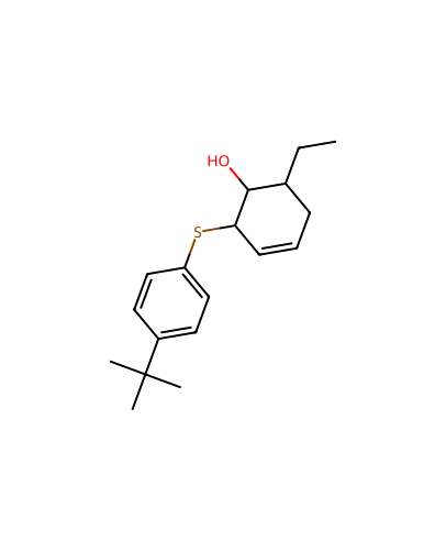 CCC1CC=CC(Sc2ccc(C(C)(C)C)cc2)C1O